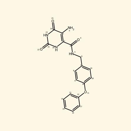 Nc1c(C(=O)NCc2ccc(Oc3ccccc3)cc2)[nH]c(=O)[nH]c1=O